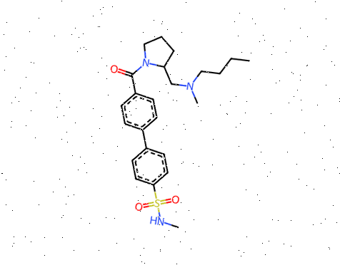 CCCCN(C)CC1CCCN1C(=O)c1ccc(-c2ccc(S(=O)(=O)NC)cc2)cc1